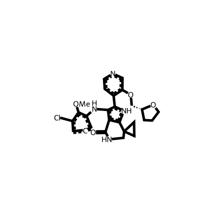 COc1c(Cl)cccc1Nc1c(-c2ccncc2OC[C@H]2CCCO2)[nH]c2c1C(=O)NCC21CC1